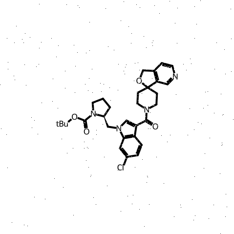 CC(C)(C)OC(=O)N1CCC[C@H]1Cn1cc(C(=O)N2CCC3(CC2)OCc2ccncc23)c2ccc(Cl)cc21